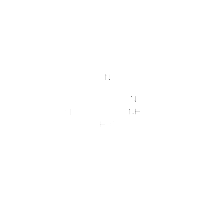 Cc1[nH]nc2cnc3ccc(Cl)cc3c12